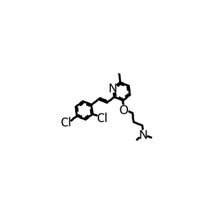 Cc1ccc(OCCCN(C)C)c(C=Cc2ccc(Cl)cc2Cl)n1